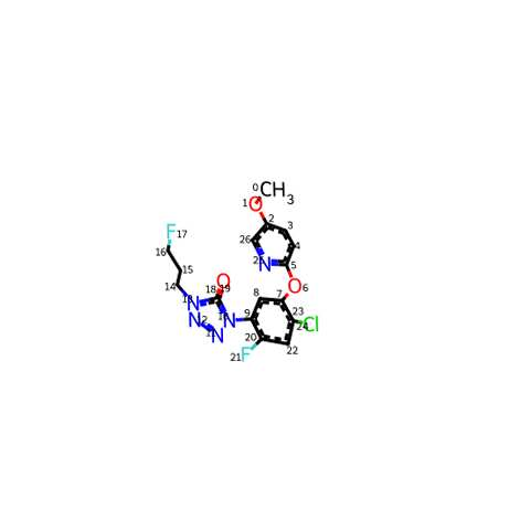 COc1ccc(Oc2cc(-n3nnn(CCCF)c3=O)c(F)cc2Cl)nc1